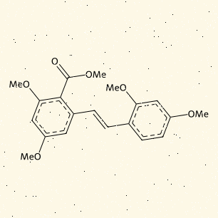 COC(=O)c1c(C=Cc2ccc(OC)cc2OC)cc(OC)cc1OC